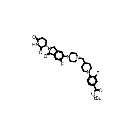 CC(C)(C)OC(=O)c1ccc(N2CCC(CN3CCN(c4cc5c(cc4F)C(=O)N([C@H]4CCC(=O)NC4=O)C5)CC3)CC2)c(F)c1